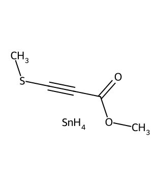 COC(=O)C#CSC.[SnH4]